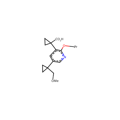 COCC1(c2cnc(OC(C)C)c(C3(C(=O)O)CC3)c2)CC1